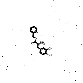 N[C@@H](Cc1ccc(O)c(O)c1)C(=O)OCc1ccccc1